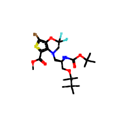 COC(=O)c1sc(Br)c2c1N(C[C@H](CO[Si](C)(C)C(C)(C)C)NC(=O)OC(C)(C)C)CC(F)(F)O2